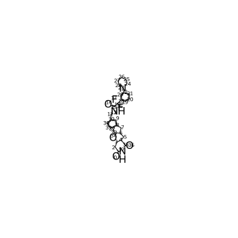 O=C1CCC(CC2Cc3cc(CNC(=O)C(F)(F)c4cccc(N5CCCCC5)c4)ccc3C2=O)C(=O)N1